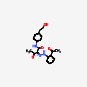 CC(=O)/C(=N/Nc1ccccc1C(C)=O)C(=O)Nc1ccc(CCO)cc1